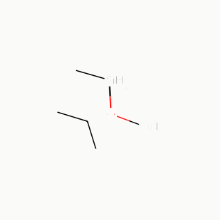 CCC.C[SiH2]O[SiH3]